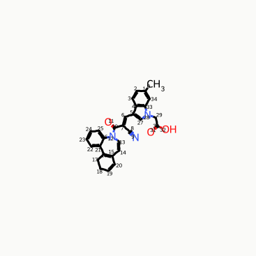 Cc1ccc2c(/C=C(\C#N)C(=O)N3C=CC4=C(CCC=C4)c4ccccc43)cn(CC(=O)O)c2c1